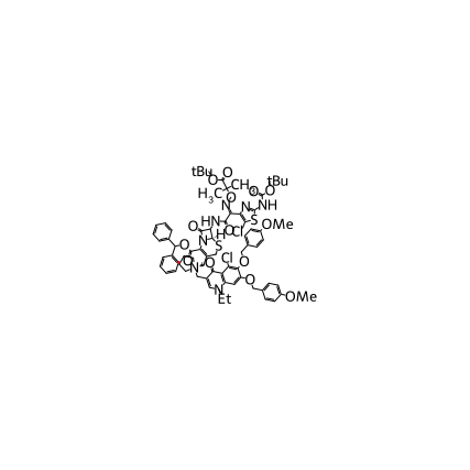 CCn1cc(C[N+]2(CC3=C(C(=O)OC(c4ccccc4)c4ccccc4)N4C(=O)[C@@H](NC(=O)C(=NOC(C)(C)C(=O)OC(C)(C)C)c5nc(NC(=O)OC(C)(C)C)sc5Cl)[C@H]4SC3)CCCC2)c(=O)c2c(Cl)c(OCc3ccc(OC)cc3)c(OCc3ccc(OC)cc3)cc21